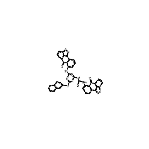 O=C(Nc1nc(Nc2cccc3c2C(=O)c2cccc4snc-3c24)nc(Oc2ccc3ccccc3c2)n1)Nc1cccc2c1C(=O)c1cccc3snc-2c13